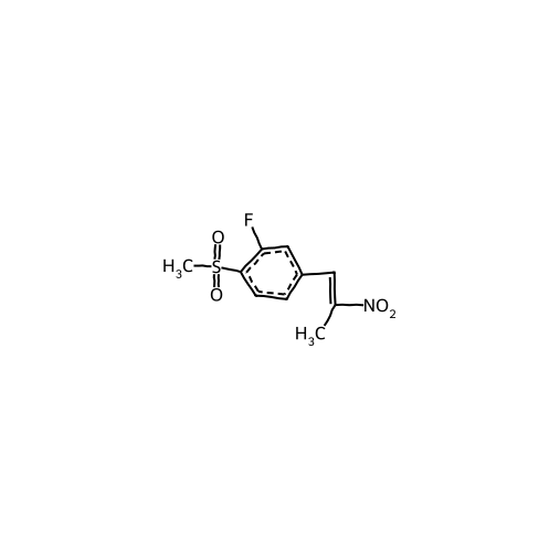 C/C(=C\c1ccc(S(C)(=O)=O)c(F)c1)[N+](=O)[O-]